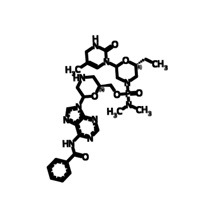 CC[C@@H]1CN(P(=O)(OC[C@@H]2CNCC(n3cnc4c(NC(=O)c5ccccc5)ncnc43)O2)N(C)C)CC(N2C=C(C)CNC2=O)O1